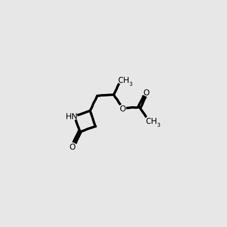 CC(=O)OC(C)CC1CC(=O)N1